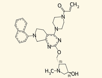 C=CC(=O)N1CCN(c2nc(OC[C@@H]3C[C@@H](O)CN3C)nc3c2CCN(c2cccc4ccccc24)C3)CC1